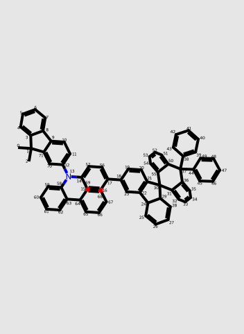 CC1(C)c2ccccc2-c2ccc(N(c3ccc(-c4ccc5c(c4)C4C=CC=CC4C54c5ccccc5C(c5ccccc5)(c5ccccc5)c5ccccc54)cc3)c3ccccc3-c3ccccc3)cc21